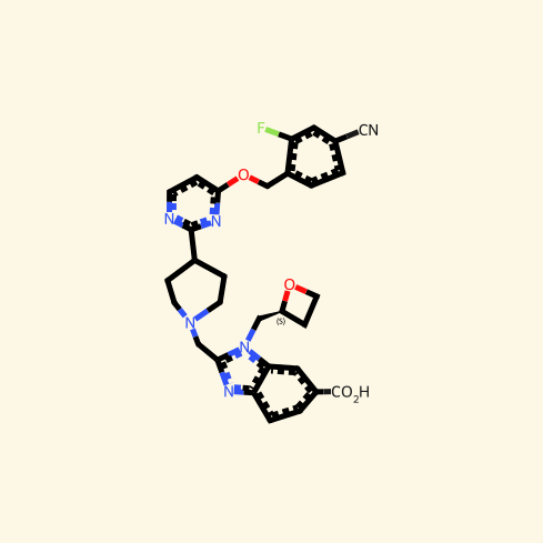 N#Cc1ccc(COc2ccnc(C3CCN(Cc4nc5ccc(C(=O)O)cc5n4C[C@@H]4CCO4)CC3)n2)c(F)c1